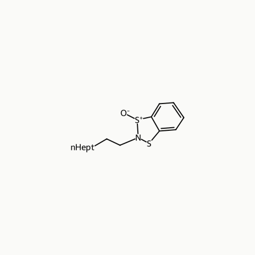 CCCCCCCCCN1Sc2ccccc2[S+]1[O-]